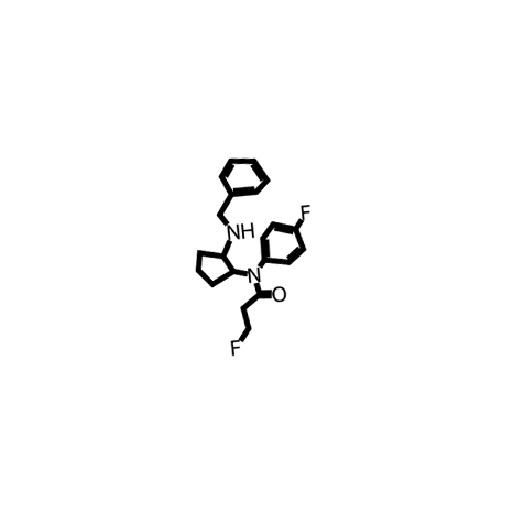 O=C(CCF)N(c1ccc(F)cc1)C1CCCC1NCc1ccccc1